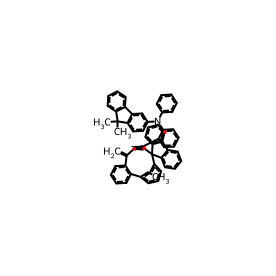 C=C1c2ccccc2-c2cccc(c2C)C2(c3ccccc3-c3ccccc32)c2c1cccc2-c1ccccc1N(c1ccccc1)c1ccc2c(c1)-c1ccccc1C2(C)C